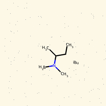 BN(C)C(C)C(C)[C@H](C)CC